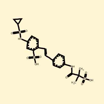 CC(C)(C(=O)Nc1ccc(C=Cc2ccc(NS(=O)(=O)C3CC3)cc2S(=O)(=O)O)cc1)S(=O)(=O)O